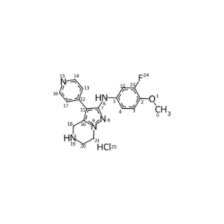 COc1ccc(Nc2nn3c(c2-c2ccncc2)CNCC3)cc1F.Cl